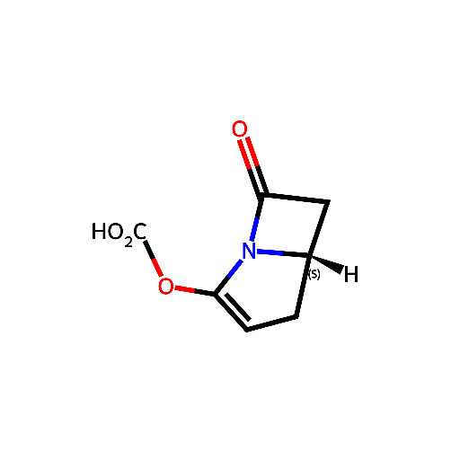 O=C(O)OC1=CC[C@H]2CC(=O)N12